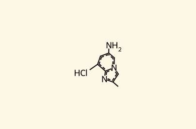 Cc1cn2cc(N)cc(C)c2n1.Cl